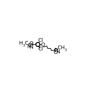 Cc1cc(CCCCCOc2c(Cl)cc(-c3nnc(C)o3)cc2Cl)on1